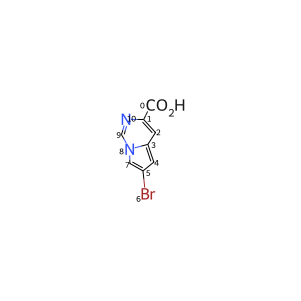 O=C(O)c1cc2cc(Br)cn2cn1